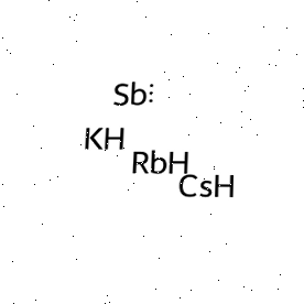 [CsH].[KH].[RbH].[Sb]